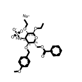 CCO[C@H]1O[C@H](COC(=O)c2ccccc2)[C@@H](OCc2ccc(OC)cc2)[C@@H](NS(=O)(=O)[O-])[C@@H]1OCC.[Na+]